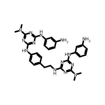 CN(C)c1nc(NCCc2ccc(Nc3nc(Nc4cccc(N)c4)nc(N(C)C)n3)cc2)nc(Nc2cccc(N)c2)n1